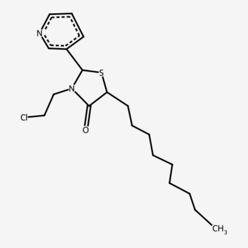 CCCCCCCCCC1SC(c2cccnc2)N(CCCl)C1=O